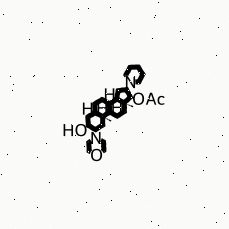 CC(=O)O[C@H]1[C@@H](N2CCCCC2)C[C@H]2[C@@H]3CC[C@H]4C[C@H](O)[C@@H](N5CCOCC5)C[C@]4(C)[C@H]3CC[C@@]21C